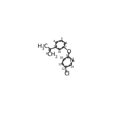 C=C(C)c1cccc(Oc2ccc(Cl)cn2)c1